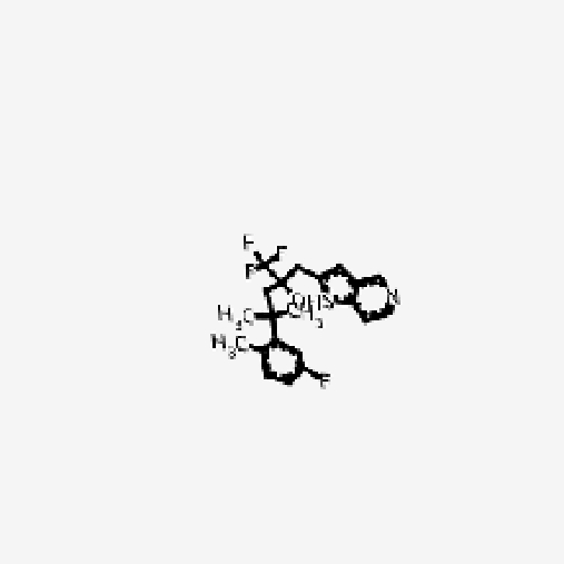 Cc1ccc(F)cc1C(C)(C)CC(O)(Cc1cc2cnccc2s1)C(F)(F)F